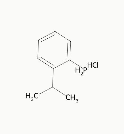 CC(C)c1ccccc1P.Cl